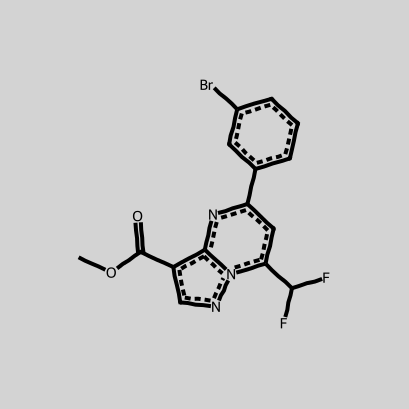 COC(=O)c1cnn2c(C(F)F)cc(-c3cccc(Br)c3)nc12